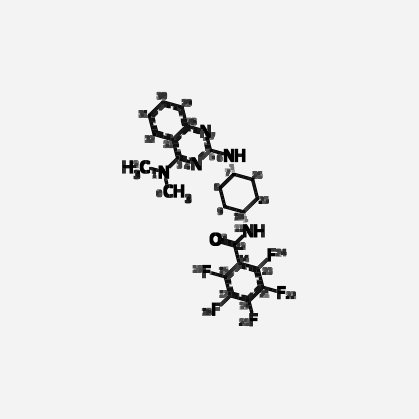 CN(C)c1nc(N[C@H]2CC[C@@H](NC(=O)c3c(F)c(F)c(F)c(F)c3F)CC2)nc2ccccc12